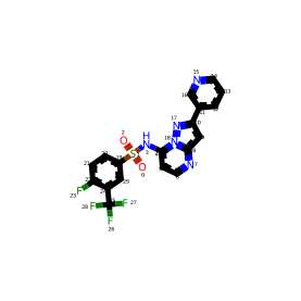 O=S(=O)(Nc1ccnc2cc(-c3cccnc3)nn12)c1ccc(F)c(C(F)(F)F)c1